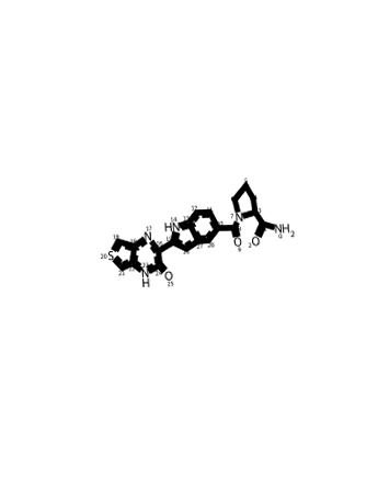 NC(=O)C1CCCN1C(=O)c1ccc2[nH]c(-c3nc4cscc4[nH]c3=O)cc2c1